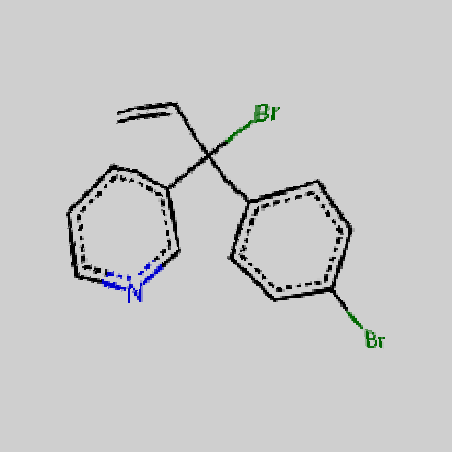 C=CC(Br)(c1ccc(Br)cc1)c1cccnc1